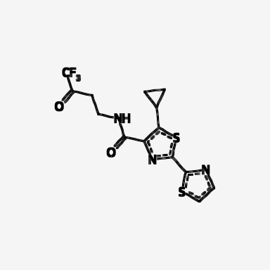 O=C(NCCC(=O)C(F)(F)F)c1nc(-c2nccs2)sc1C1CC1